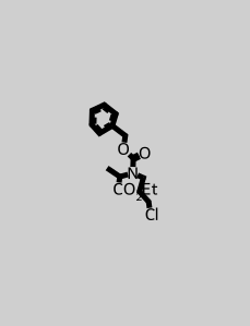 CCOC(=O)C(C)N(CCCCl)C(=O)OCc1ccccc1